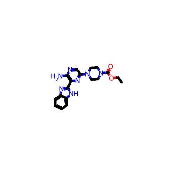 CCOC(=O)N1CCN(c2cnc(N)c(-c3nc4ccccc4[nH]3)n2)CC1